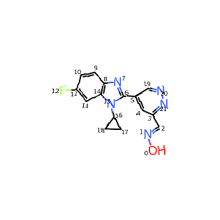 ON=Cc1cc(-c2nc3ccc(F)cc3n2C2CC2)cnn1